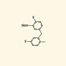 Cc1ccc(F)cc1Cc1ccc(F)c(C#N)c1